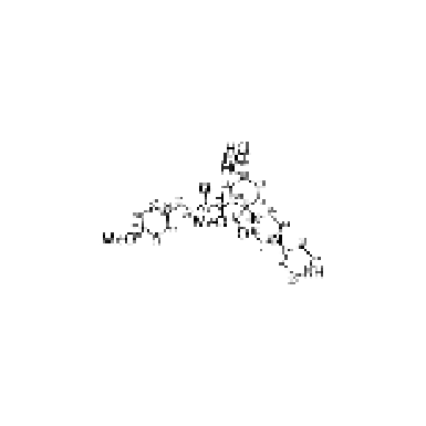 COC(=O)C1(N2CCN(C3CCNCC3)CC2)CCCC[C@@H]1NC(=O)CCc1ccc(OC)cc1.Cl.Cl.Cl